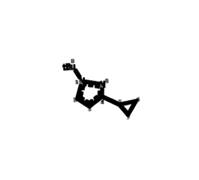 CC(C)(C)n1[c]cc(C2CC2)n1